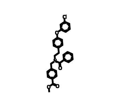 COC(=O)c1ccc(CN(CCc2ccc(Oc3cccc(Cl)c3)cc2)C(=O)c2ccccc2)cc1